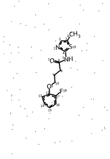 Cc1cnc(NC(=O)CCCOc2ccccc2F)s1